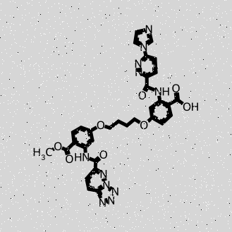 COC(=O)c1ccc(OCCCCOc2ccc(C(=O)O)c(NC(=O)c3ccc(-n4ccnc4)nn3)c2)cc1NC(=O)c1ccc2nnnn2n1